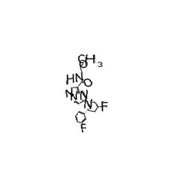 COCCNC(=O)c1cnn2ccc(N3C[C@@H](F)C[C@@H]3c3cccc(F)c3)nc12